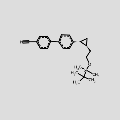 CC(C)(C)[Si](C)(C)OCC[C@@H]1C[C@H]1c1ccc(-c2ccc(C#N)cc2)cc1